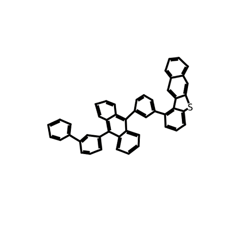 c1ccc(-c2cccc(-c3c4ccccc4c(-c4cccc(-c5cccc6sc7cc8ccccc8cc7c56)c4)c4ccccc34)c2)cc1